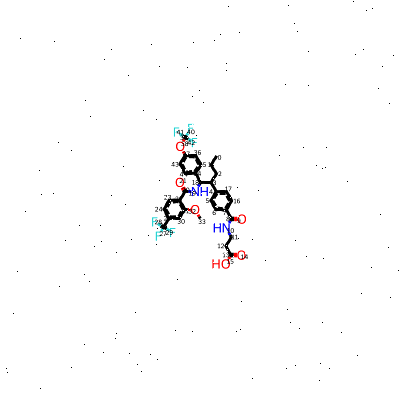 CCCC(c1ccc(C(=O)NCCC(=O)O)cc1)C(NC(=O)c1ccc(C(F)(F)F)cc1OC)c1ccc(OC(F)(F)F)cc1